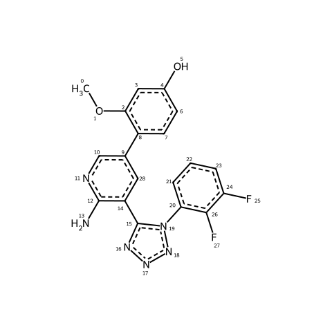 COc1cc(O)ccc1-c1cnc(N)c(-c2nnnn2-c2cccc(F)c2F)c1